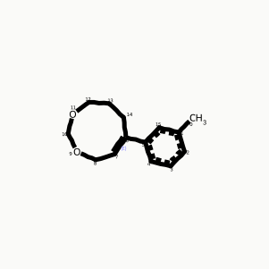 Cc1cccc(/C2=C/COCOCCC2)c1